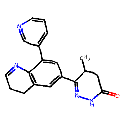 CC1CC(=O)NN=C1c1cc2c(c(-c3cccnc3)c1)N=CCC2